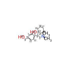 CN(C)CC(c1ccc(CO)cc1)C1(O)CCCCC1